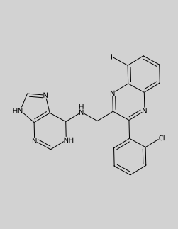 Clc1ccccc1-c1nc2cccc(I)c2nc1CNC1NC=Nc2[nH]cnc21